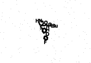 CC(C)(C)ONC(=O)CC1(Sc2ccc(Oc3ccc(F)cc3)cc2)CCNCC1